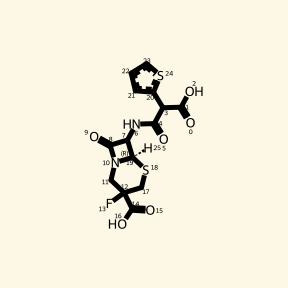 O=C(O)C(C(=O)NC1C(=O)N2CC(F)(C(=O)O)CS[C@H]12)c1cccs1